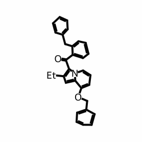 CCc1cc2c(OCc3ccccc3)cccn2c1C(=O)c1ccccc1Cc1ccccc1